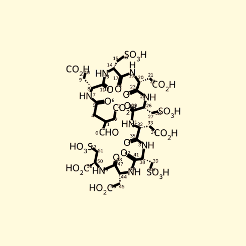 O=CC(CC(=O)O)CC(=O)N[C@H](CC(=O)O)C(=O)N[C@H](CS(=O)(=O)O)C(=O)N[C@H](CC(=O)O)C(=O)N[C@H](CS(=O)(=O)O)C(=O)N[C@H](CC(=O)O)C(=O)N[C@H](CS(=O)(=O)O)C(=O)N[C@H](CC(=O)O)C(=O)N[C@H](CS(=O)(=O)O)C(=O)O